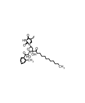 CCCCCCCCCCCC(=O)[C@]1(O)C[C@H](n2cc(F)c(=O)[nH]c2=O)O[C@@H]1C(O)C(=O)c1ccccc1C